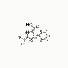 O=C(O)c1nc(C(F)F)sc1-c1ccccc1